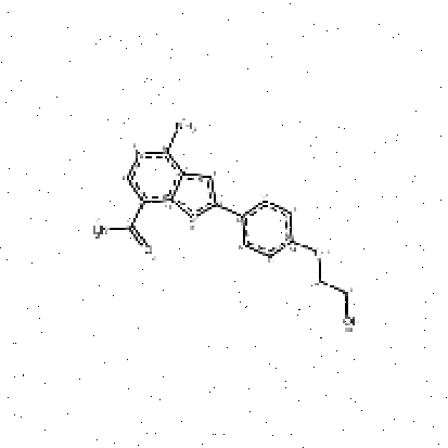 NC(=O)c1cnc(N)c2cc(-c3ccc(OCCO)cc3)sc12